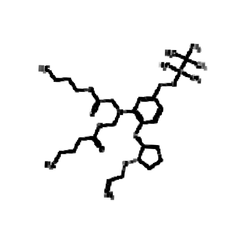 C=CCO[C@H]1CCC[C@@H]1Oc1ccc(CO[Si](C)(C)C(C)(C)C)cc1N(COC(=O)CCCC)CC(=O)OCCCC